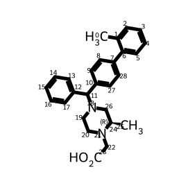 Cc1ccccc1-c1ccc(C(c2ccccc2)N2CCN(CC(=O)O)[C@H](C)C2)cc1